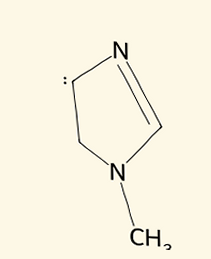 CN1C=N[C]C1